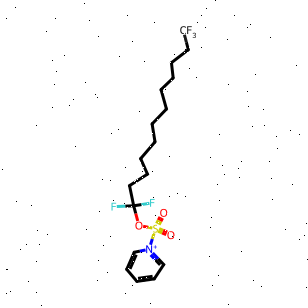 O=S(=O)(OC(F)(F)CCCCCCCCCCC(F)(F)F)[n+]1ccccc1